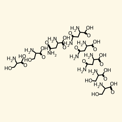 NC(=O)CC(N)C(=O)O.NC(=O)CC(N)C(=O)O.NC(=O)CC(N)C(=O)O.NC(=O)CC(N)C(=O)O.NC(CO)C(=O)O.NC(CO)C(=O)O.NC(CO)C(=O)O.NC(CO)C(=O)O